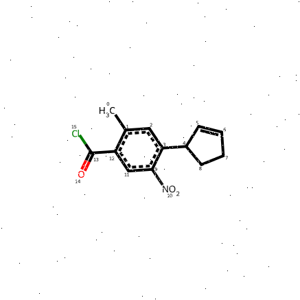 Cc1cc(C2C=CCC2)c([N+](=O)[O-])cc1C(=O)Cl